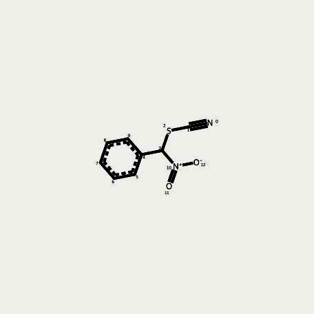 N#CSC(c1ccccc1)[N+](=O)[O-]